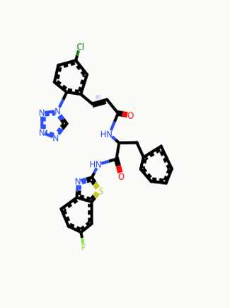 O=C(/C=C/c1cc(Cl)ccc1-n1cnnn1)NC(Cc1ccccc1)C(=O)Nc1nc2ccc(F)cc2s1